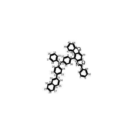 c1ccc(-c2nc3c(-c4ccc(N(c5ccccc5)c5ccc(-c6ccc7ccccc7c6)cc5)cc4)c4c(cc3o2)oc2ccccc24)cc1